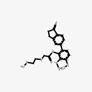 COCCOCC(=O)Oc1c(-c2ccc3c(c2)CCC3=O)ccc(OC)c1OC